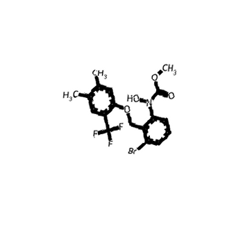 COC(=O)N(O)c1cccc(Br)c1COc1cc(C)c(C)cc1C(F)(F)F